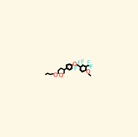 CCCCOC1CCC(c2ccc(OC(F)(F)c3ccc(OCC)c(C(F)F)c3F)cc2)CO1